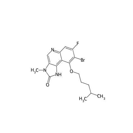 CC(C)CCCOc1c(Br)c(F)cc2ncc3c([nH]c(=O)n3C)c12